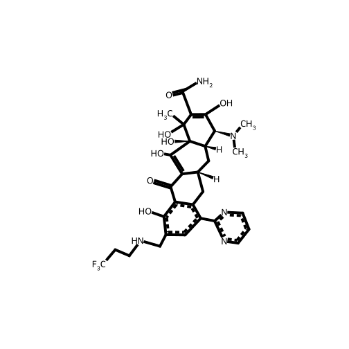 CN(C)[C@@H]1C(O)=C(C(N)=O)C(C)(O)[C@@]2(O)C(O)=C3C(=O)c4c(O)c(CNCCC(F)(F)F)cc(-c5ncccn5)c4C[C@H]3C[C@@H]12